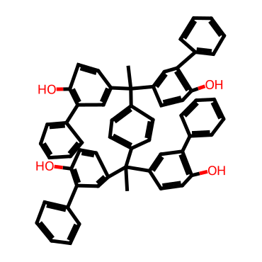 CC(c1ccc(C(C)(c2ccc(O)c(-c3ccccc3)c2)c2ccc(O)c(-c3ccccc3)c2)cc1)(c1ccc(O)c(-c2ccccc2)c1)c1ccc(O)c(-c2ccccc2)c1